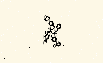 CN(Cc1ccc(N2CCCC2=O)cc1)C(=O)C(Cc1ccccc1)N(Cc1ccc(N2CCOCC2)cc1)C(=O)C=Cc1ccc(C(F)(F)F)nc1